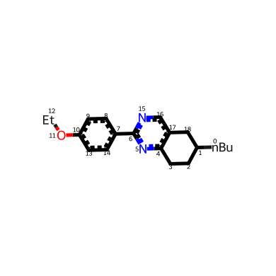 CCCCC1CCc2nc(-c3ccc(OCC)cc3)ncc2C1